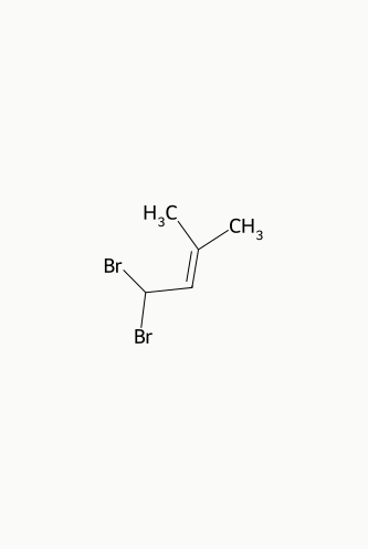 CC(C)=CC(Br)Br